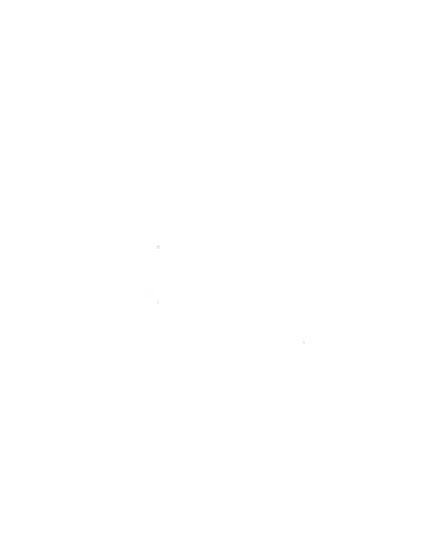 CN(CO)C(=O)CCCCBr